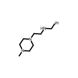 CC(C)CNCCN1CCN(C)CC1